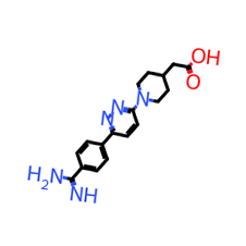 N=C(N)c1ccc(-c2ccc(N3CCC(CC(=O)O)CC3)nn2)cc1